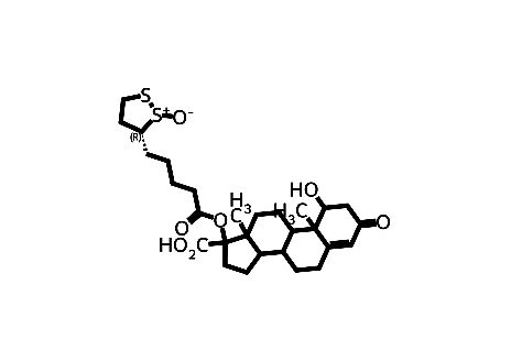 CC12C(=CC(=O)CC1O)CCC1C2CCC2(C)C1CCC2(OC(=O)CCCC[C@@H]1CCS[S+]1[O-])C(=O)O